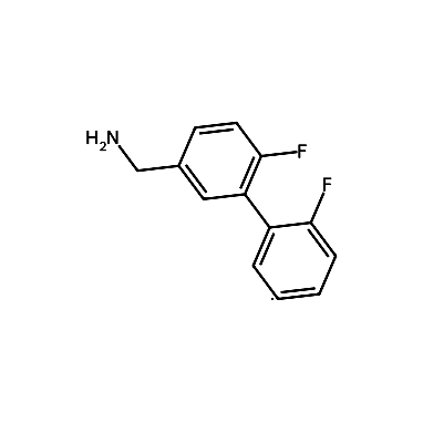 NCc1ccc(F)c(-c2c[c]ccc2F)c1